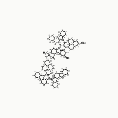 CC(C)(C)c1cc2ccc3c4c5c(c6ccc(c1)c2c36)-n1c2ccccc2c2c3ccccc3cc(c21)B5n1c2ccc(C(C)(C)Cc3cc5ccc6c7c8c(c9ccc(c3)c5c69)-n3c5ccccc5c5cccc(c53)B8n3c5ccccc5c5c6oc8ccccc8c6cc-7c53)cc2c2cc(C(C)(C)C)cc-4c21